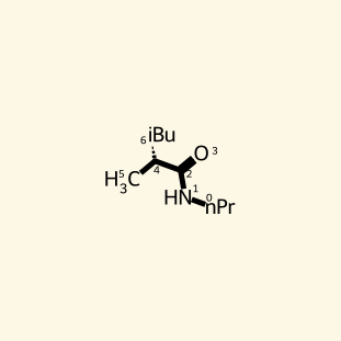 CCCNC(=O)C(C)[C@@H](C)CC